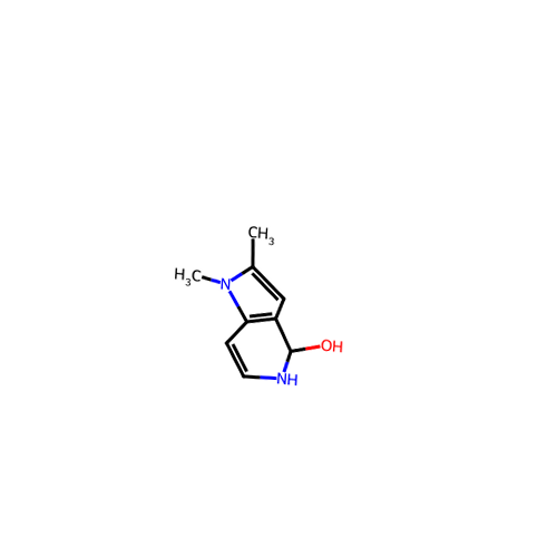 Cc1cc2c(n1C)C=CNC2O